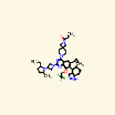 C=CC(=O)N1CC2(CCN(c3nc(N4CC(N5C(C)CCC5CC)C4)nc4c(OCC(F)(F)F)c(-c5c(C)ccc6[nH]ncc56)c(C5CC5)cc34)CC2)C1